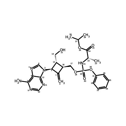 C=C1[C@@H](n2cnc3c(N)ncnc32)[C@H](CO)[C@H]1COP(=O)(N[C@@H](C)C(=O)OC(C)C)Oc1ccccc1